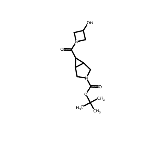 CC(C)(C)OC(=O)N1CC2C(C1)C2C(=O)N1CC(O)C1